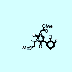 COC(=O)Cn1cc(-c2cccc(F)c2Cl)c(=O)n([C@@H](C)CSC)c1=O